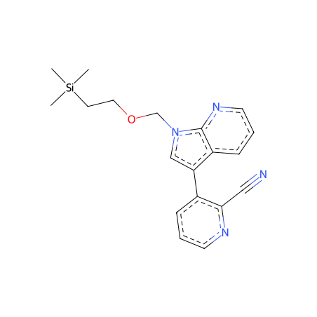 C[Si](C)(C)CCOCn1cc(-c2cccnc2C#N)c2cccnc21